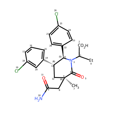 CCC(C(=O)O)N1C(=O)[C@@](C)(CC(N)=O)C[C@H](c2cccc(Cl)c2)[C@H]1c1ccc(Cl)cc1